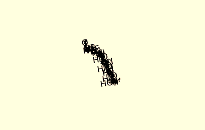 COCCn1ncc(-c2ccc(-c3cnc(C(=O)Nc4ccc(C(=O)N[C@H]5[C@@H]6CN(C(=O)N[C@@H]7C[N+](C)(C)C[C@H]7O)C[C@@H]65)c(Cl)c4)n3C)c(F)c2F)c1C